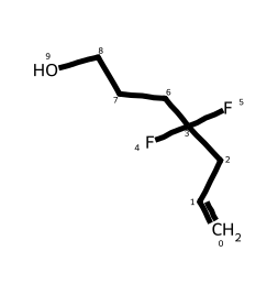 C=CCC(F)(F)CCCO